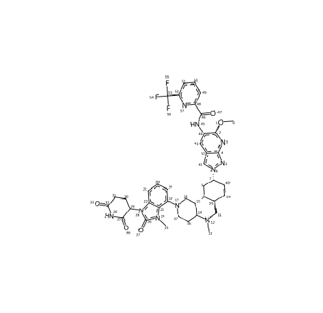 COc1nc2nn([C@H]3CC[C@H](CN(C)C4CCN(c5cccc6c5n(C)c(=O)n6C5CCC(=O)NC5=O)CC4)CC3)cc2cc1NC(=O)c1cccc(C(F)(F)F)n1